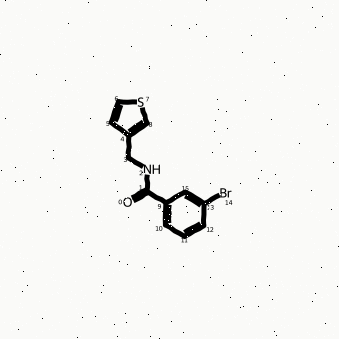 O=C(NCc1ccsc1)c1cccc(Br)c1